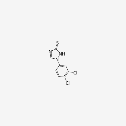 S=c1ncn(-c2ccc(Cl)c(Cl)c2)[nH]1